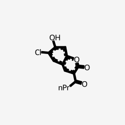 CCCC(=O)c1cc2cc(Cl)c(O)cc2oc1=O